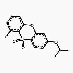 CC(C)Oc1ccc2c(c1)Oc1cccc(F)c1S2(=O)=O